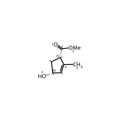 COC(=O)[C@H]1C[C@@H](O)C=C1C